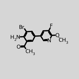 COc1ncc(-c2cc(Br)c(N)c(C(C)=O)c2)cc1F